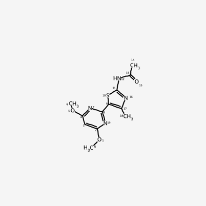 COc1cc(OC)nc(-c2sc(NC(C)=O)nc2C)n1